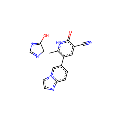 Cc1[nH]c(=O)c(C#N)cc1-c1ccc2nccn2c1.OC1=NC=NC1